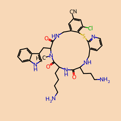 CN1C(=O)C(CCCCN)NC(=O)C(CCCN)NCc2cccnc2Sc2c(Cl)cc(C#N)cc2CNC(=O)C1Cc1c[nH]c2ccccc12